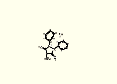 CCCCC1C(=O)N(c2ccccc2)N(c2ccccc2)C1=O.[Cu]